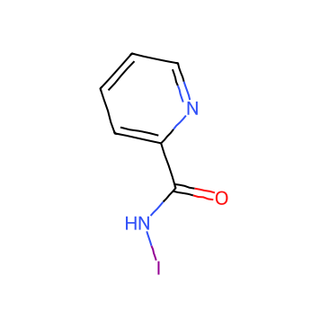 O=C(NI)c1ccccn1